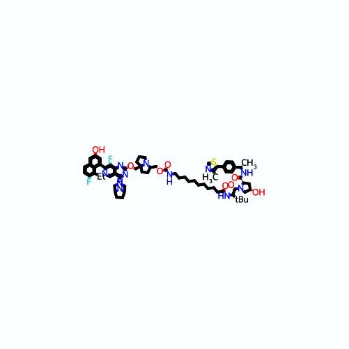 CCc1c(F)ccc2cc(O)cc(-c3ncc4c(N5CC6CCC(C5)N6)nc(OCC56CCCN5C(COC(=O)NCCCCCCCCCCC(=O)NC(C(=O)N5C[C@H](O)C[C@H]5C(=O)N[C@@H](C)c5ccc(-c7scnc7C)cc5)C(C)(C)C)CC6)nc4c3F)c12